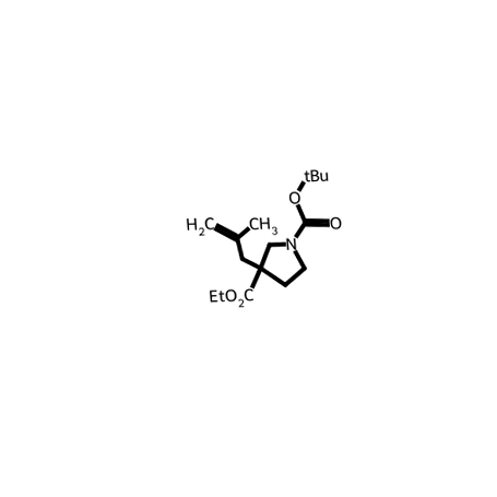 C=C(C)CC1(C(=O)OCC)CCN(C(=O)OC(C)(C)C)C1